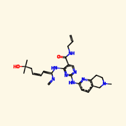 C=CCNC(=O)c1cnc(Nc2ccc3c(n2)CCN(C)C3)nc1N/C(=C/C=C\CC(C)(C)O)N=C